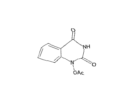 CC(=O)On1c(=O)[nH]c(=O)c2ccccc21